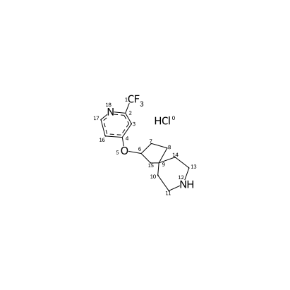 Cl.FC(F)(F)c1cc(OC2CCC3(CCNCC3)C2)ccn1